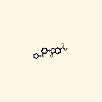 O=C1c2ccc([N+](=O)[O-])cc2CN1c1cccc(NC2CCCC2)c1